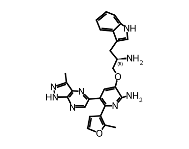 Cc1occc1-c1nc(N)c(OC[C@H](N)Cc2c[nH]c3ccccc23)cc1-c1cnc2[nH]nc(C)c2n1